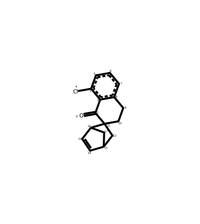 O=C1c2c(Cl)cccc2CCC12CC1C=CC2C1